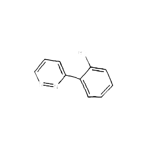 Oc1ccccc1-c1cc[c]nn1